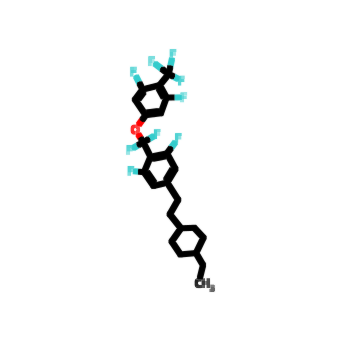 CCC1CCC(CCc2cc(F)c(C(F)(F)Oc3cc(F)c(C(F)(F)F)c(F)c3)c(F)c2)CC1